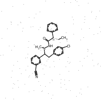 CC[C@H](C(=O)NN(C)C(Cc1ccc(Cl)cc1)c1cccc(C#N)c1)c1ccccc1